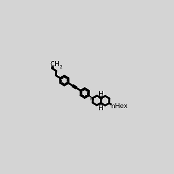 C=CCCc1ccc(C#Cc2ccc([C@@H]3CC[C@@H]4CC(CCCCCC)CC[C@@H]4C3)cc2)cc1